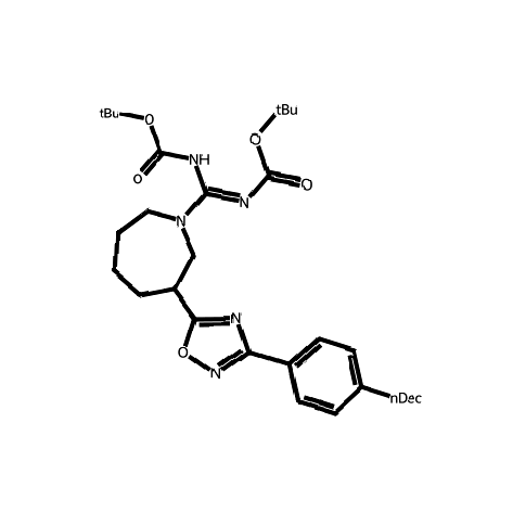 CCCCCCCCCCc1ccc(-c2noc(C3CCCCN(C(=NC(=O)OC(C)(C)C)NC(=O)OC(C)(C)C)C3)n2)cc1